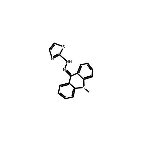 Cn1c2ccccc2c(=NNc2nccs2)c2ccccc21